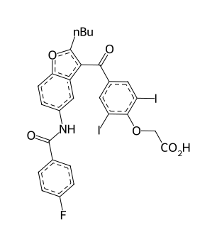 CCCCc1oc2ccc(NC(=O)c3ccc(F)cc3)cc2c1C(=O)c1cc(I)c(OCC(=O)O)c(I)c1